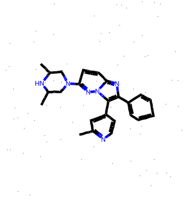 Cc1cc(-c2c(-c3ccccc3)nc3ccc(N4CC(C)NC(C)C4)nn23)ccn1